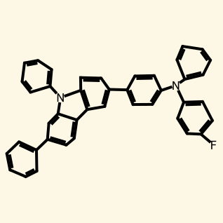 Fc1ccc(N(c2ccccc2)c2ccc(-c3ccc4c(c3)c3ccc(-c5ccccc5)cc3n4-c3ccccc3)cc2)cc1